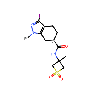 CC(C)n1nc(I)c2c1C[C@H](C(=O)NC1(C)CS(=O)(=O)C1)CC2